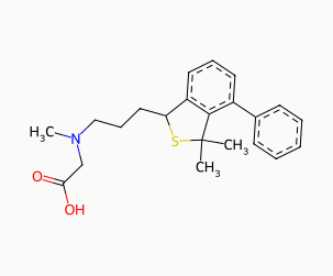 CN(CCCC1SC(C)(C)c2c(-c3ccccc3)cccc21)CC(=O)O